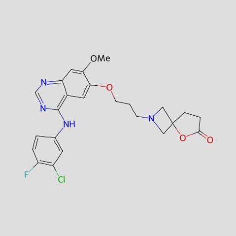 COc1cc2ncnc(Nc3ccc(F)c(Cl)c3)c2cc1OCCCN1CC2(CCC(=O)O2)C1